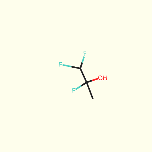 CC(O)(F)C(F)F